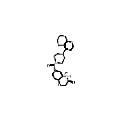 O=C1COC2CCN(C(=O)N3CCC(c4ccnc5c4CCCC5)CC3)C[C@H]2N1